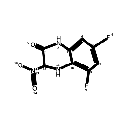 O=C1Nc2cc(F)cc(F)c2NC1[N+](=O)[O-]